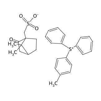 CC1(C)C2CCC1(CS(=O)(=O)[O-])C(=O)C2.Cc1ccc([S+](c2ccccc2)c2ccccc2)cc1